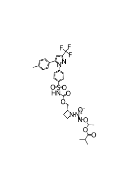 Cc1ccc(-c2cc(C(F)(F)F)nn2-c2ccc(S(=O)(=O)NC(=O)OC[C@@H]3CCN3[N+]([O-])=NOC(C)OC(=O)C(C)C)cc2)cc1